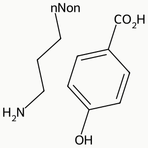 CCCCCCCCCCCCN.O=C(O)c1ccc(O)cc1